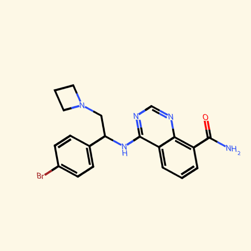 NC(=O)c1cccc2c(NC(CN3CCC3)c3ccc(Br)cc3)ncnc12